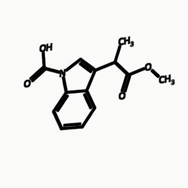 COC(=O)C(C)c1cn(C(=O)O)c2ccccc12